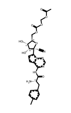 CC(=O)OCOC(=O)OC[C@H]1O[C@@](C#N)(c2ccc3c(NC(=O)[C@@H](N)Cc4ccc(C)cc4)ncnn23)[C@H](O)[C@@H]1O